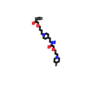 CNC(=O)COCCCCN1CCC(CCNC(=O)COCCCN2CCC(C)CC2)CC1